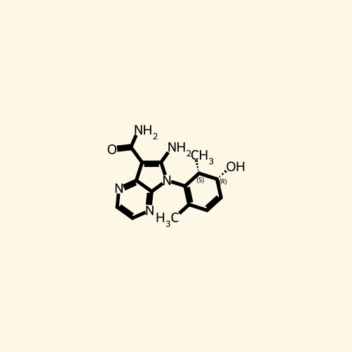 CC1=C(n2c(N)c(C(N)=O)c3nccnc32)[C@H](C)[C@H](O)C=C1